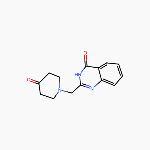 O=C1CCN(Cc2nc3ccccc3c(=O)[nH]2)CC1